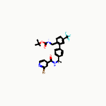 C[C@@H](NC(=O)c1ccnc(Br)c1)c1ccc(-c2cc(C(F)(F)F)ccc2CNC(=O)OC(C)(C)C)cc1